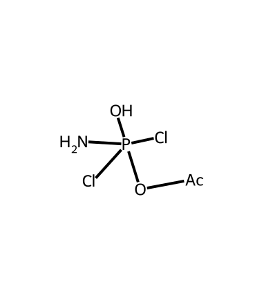 CC(=O)OP(N)(O)(Cl)Cl